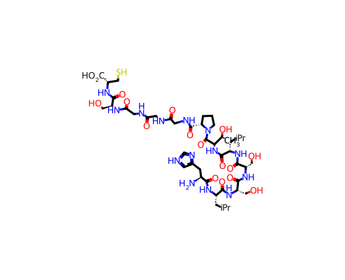 CC(C)C[C@H](NC(=O)[C@H](CO)NC(=O)[C@H](CO)NC(=O)[C@H](CC(C)C)NC(=O)[C@@H](N)Cc1c[nH]cn1)C(=O)N[C@H](C(=O)N1CCC[C@H]1C(=O)NCC(=O)NCC(=O)NCC(=O)N[C@@H](CO)C(=O)N[C@@H](CS)C(=O)O)[C@@H](C)O